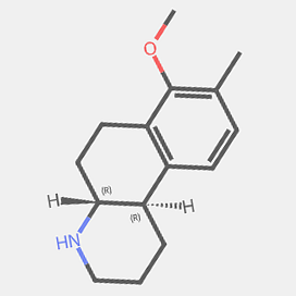 COc1c(C)ccc2c1CC[C@H]1NCCC[C@H]21